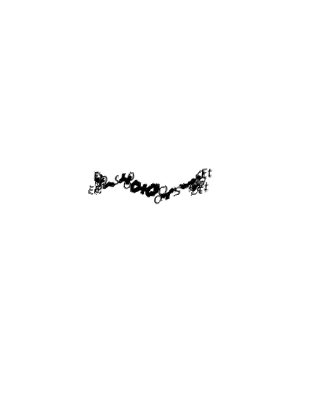 CCO[Si](CCCSCC(C)C(=O)Oc1ccc(C(C)(C)c2ccc(OC(=O)C(C)CSCCC[Si](OCC)(OCC)OCC)cc2)cc1)(OCC)OCC